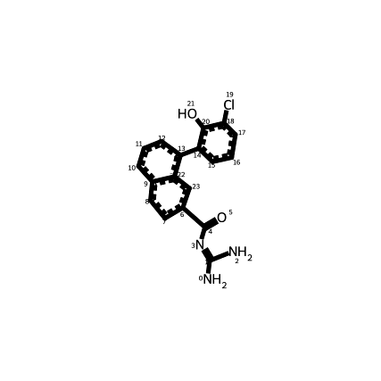 NC(N)=NC(=O)c1ccc2cccc(-c3cccc(Cl)c3O)c2c1